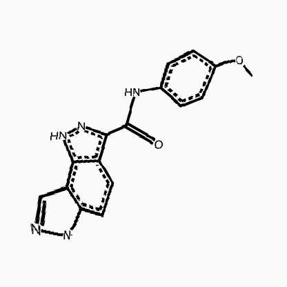 COc1ccc(NC(=O)c2n[nH]c3c4c(ccc23)[N]N=C4)cc1